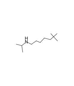 CC(C)NCCCCCC(C)(C)C